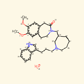 COc1cc2c(cc1OC)CC(=O)N(CC1CCCCN(CCCc3c[nH]c4ccccc34)C1)CC2.O